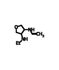 C=CNC1COCC1NCC